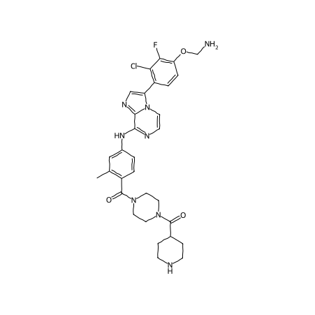 Cc1cc(Nc2nccn3c(-c4ccc(OCN)c(F)c4Cl)cnc23)ccc1C(=O)N1CCN(C(=O)C2CCNCC2)CC1